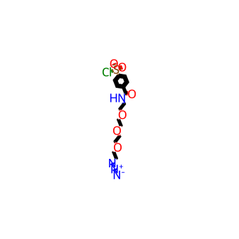 [N-]=[N+]=NCCOCCOCCOCCNC(=O)c1ccc(S(=O)(=O)Cl)cc1